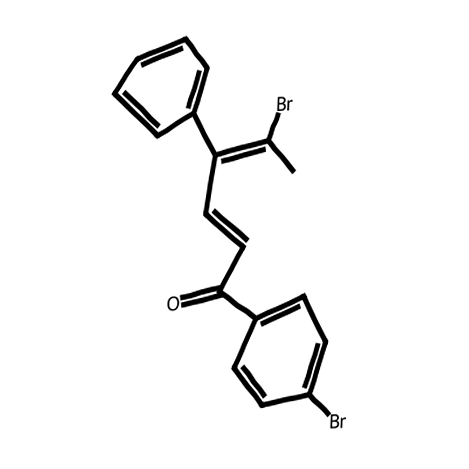 CC(Br)=C(C=CC(=O)c1ccc(Br)cc1)c1ccccc1